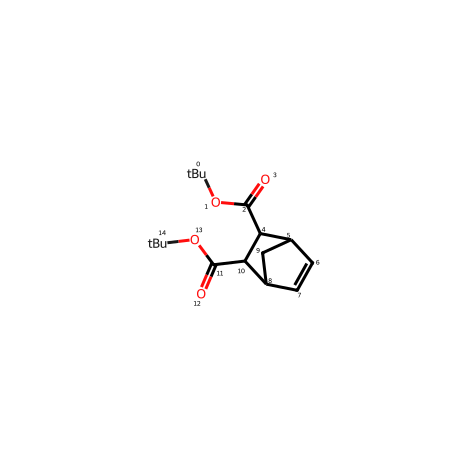 CC(C)(C)OC(=O)C1C2C=CC(C2)C1C(=O)OC(C)(C)C